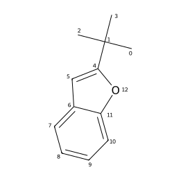 CC(C)(C)c1cc2ccccc2o1